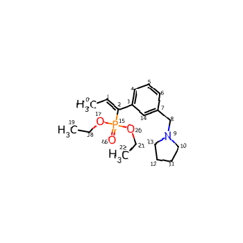 CC=C(c1cccc(CN2CCCC2)c1)P(=O)(OCC)OCC